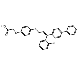 O=C(O)COc1ccc(SCC=C(c2ccc(-c3ccccc3)cc2)c2ccccc2Cl)cc1